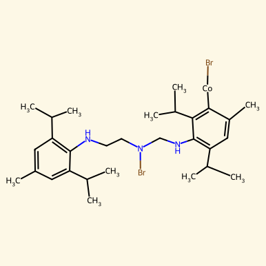 Cc1cc(C(C)C)c(NCCN(Br)CNc2c(C(C)C)cc(C)[c]([Co][Br])c2C(C)C)c(C(C)C)c1